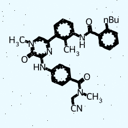 CCCCc1ccccc1C(=O)Nc1cccc(-c2cn(C)c(=O)c(Nc3ccc(C(=O)N(C)CC#N)cc3)n2)c1C